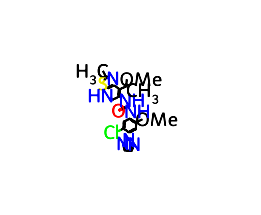 COc1cc(-n2nccn2)c(Cl)cc1NC(=O)NC1=C(C(C)OC)c2nc(C)sc2NC1